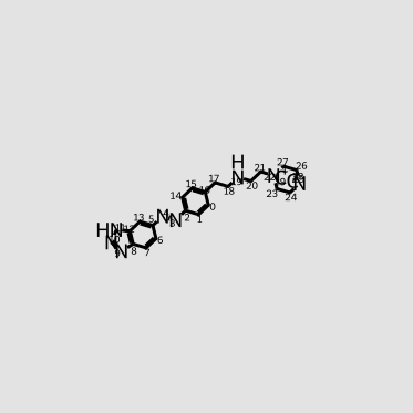 c1cc(N=Nc2ccc3nn[nH]c3c2)ccc1CCNCC[N+]12CCN(CC1)CC2